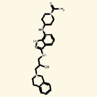 CC(=O)N1CCC(Nc2cccc3c(NCC(O)CN4CCc5ccccc5C4)n[nH]c23)CC1